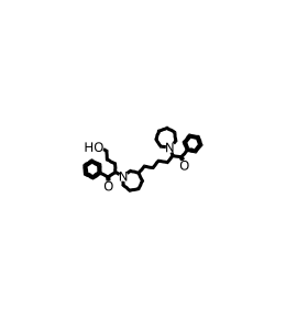 O=C(c1ccccc1)C(CCCCC1CCCCN(C(CCCO)C(=O)c2ccccc2)C1)N1CCCCCC1